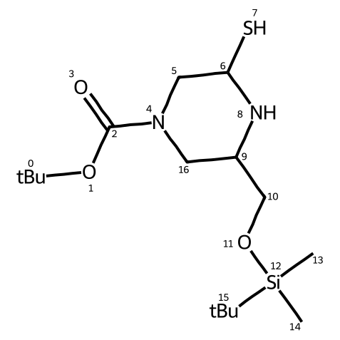 CC(C)(C)OC(=O)N1CC(S)NC(CO[Si](C)(C)C(C)(C)C)C1